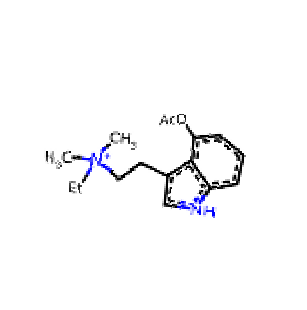 CC[N+](C)(C)CCc1c[nH]c2cccc(OC(C)=O)c12